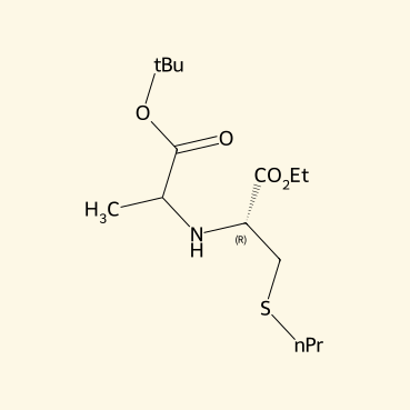 CCCSC[C@H](NC(C)C(=O)OC(C)(C)C)C(=O)OCC